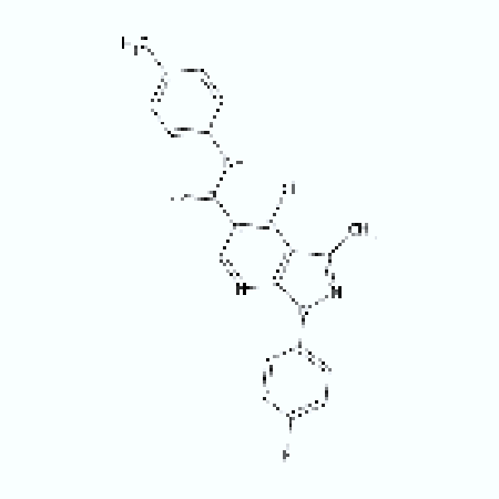 Cc1ccc(NC(=O)c2cnc3c(c(C)nn3-c3ccc(F)cc3)c2Cl)cc1